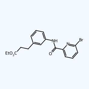 CCOC(=O)CCc1cccc(NC(=O)c2cccc(Br)n2)c1